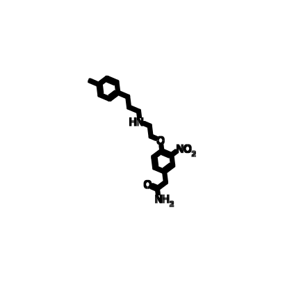 Cc1ccc(CCCNCCOc2ccc(CC(N)=O)cc2[N+](=O)[O-])cc1